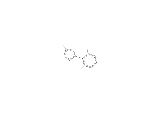 Cc1cccc(Br)c1-c1csc(N)n1